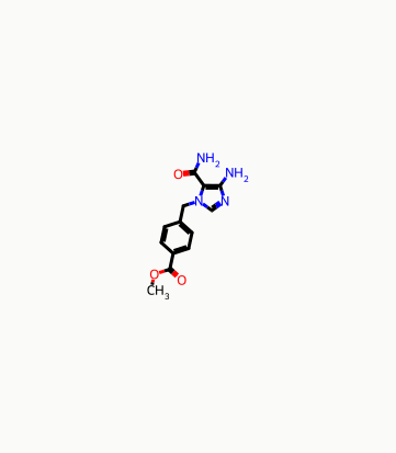 COC(=O)c1ccc(Cn2cnc(N)c2C(N)=O)cc1